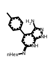 CCCCCCN=c1cc(-c2ccc(C)cc2)c2c(N)n[nH]c2[nH]1